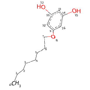 CCCCCCCCOc1cc(O)cc(O)c1